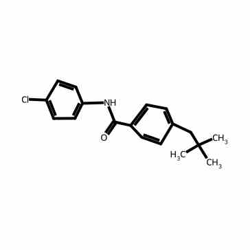 CC(C)(C)Cc1ccc(C(=O)Nc2ccc(Cl)cc2)cc1